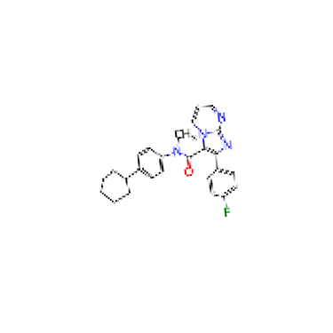 CN(C(=O)c1c(-c2ccc(F)cc2)nc2ncccn12)c1ccc(C2CCCCC2)cc1